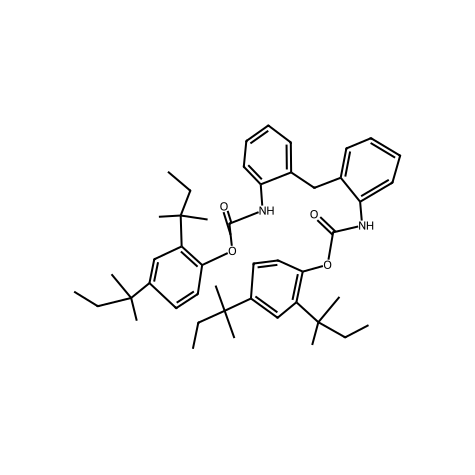 CCC(C)(C)c1ccc(OC(=O)Nc2ccccc2Cc2ccccc2NC(=O)Oc2ccc(C(C)(C)CC)cc2C(C)(C)CC)c(C(C)(C)CC)c1